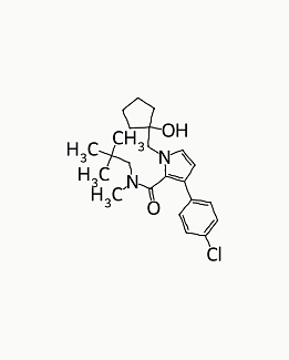 CN(CC(C)(C)C)C(=O)c1c(-c2ccc(Cl)cc2)ccn1CC1(O)CCCC1